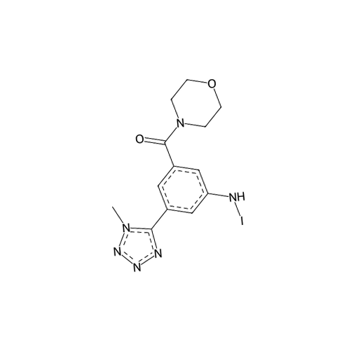 Cn1nnnc1-c1cc(NI)cc(C(=O)N2CCOCC2)c1